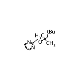 CC(C)(C)CC(C)(C)OCc1ncccn1